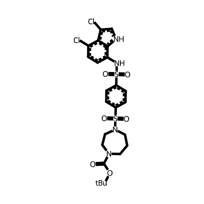 CC(C)(C)OC(=O)N1CCCN(S(=O)(=O)c2ccc(S(=O)(=O)Nc3ccc(Cl)c4c(Cl)c[nH]c34)cc2)CC1